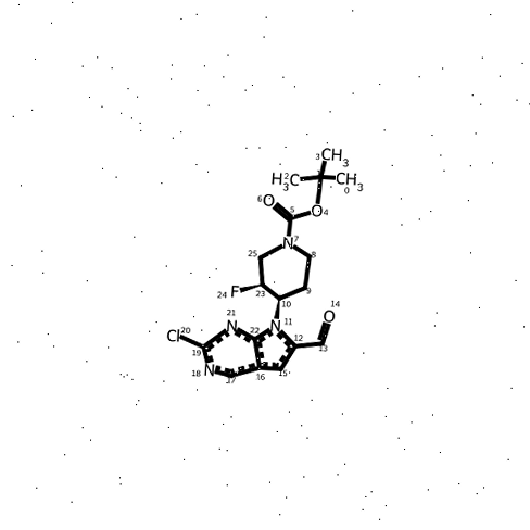 CC(C)(C)OC(=O)N1CC[C@@H](n2c(C=O)cc3cnc(Cl)nc32)[C@@H](F)C1